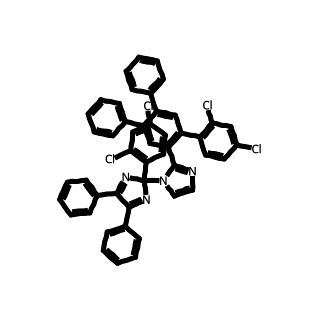 Clc1ccc(-c2cc(-c3ccccc3)c(-c3ccccc3)cc2-c2nccn2C2(c3ccc(Cl)cc3Cl)N=C(c3ccccc3)C(c3ccccc3)=N2)c(Cl)c1